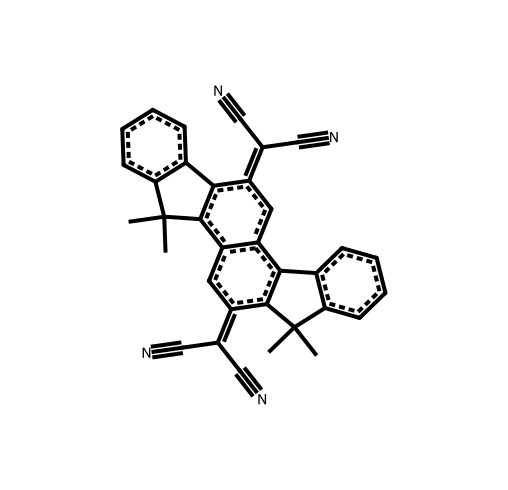 CC1(C)c2ccccc2-c2c1c(=C(C#N)C#N)cc1c3c(c(=C(C#N)C#N)cc21)-c1ccccc1C3(C)C